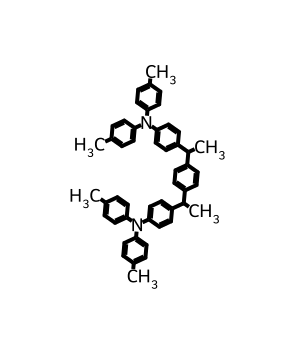 Cc1ccc(N(c2ccc(C)cc2)c2ccc(C(C)c3ccc(C(C)c4ccc(N(c5ccc(C)cc5)c5ccc(C)cc5)cc4)cc3)cc2)cc1